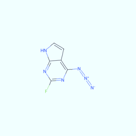 [N-]=[N+]=Nc1nc(F)nc2[nH]ccc12